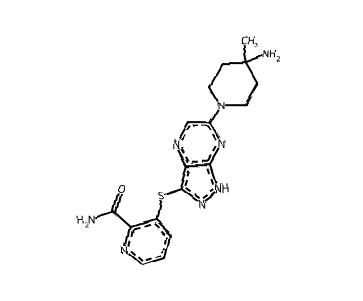 CC1(N)CCN(c2cnc3c(Sc4cccnc4C(N)=O)n[nH]c3n2)CC1